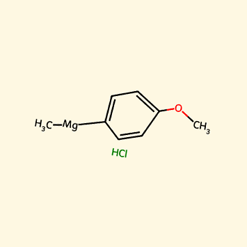 COc1cc[c]([Mg][CH3])cc1.Cl